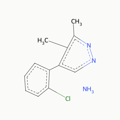 Cc1nncc(-c2ccccc2Cl)c1C.N